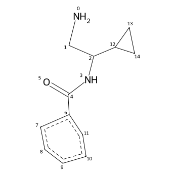 NCC(NC(=O)c1ccccc1)C1CC1